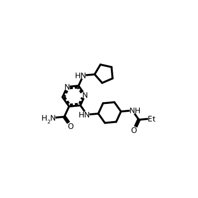 CCC(=O)NC1CCC(Nc2nc(NC3CCCC3)ncc2C(N)=O)CC1